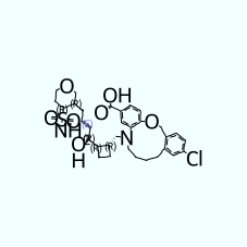 NS(=O)(=O)[C@@H]1CCOC[C@H]1C/C=C/[C@H](O)[C@@H]1CC[C@H]1CN1CCCCc2cc(Cl)ccc2COc2ccc(C(=O)O)cc21